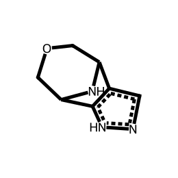 c1n[nH]c2c1C1COCC2N1